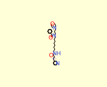 O=C(/C=C/c1cccnc1)NCCCCCCCCN(CCCN1CCOCC1)C(=O)c1ccccc1